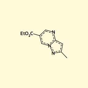 CCOC(=O)c1cnc2cc(C)nn2c1